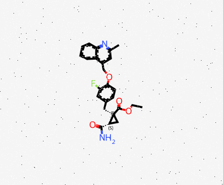 CCOC(=O)[C@@]1(Cc2ccc(OCc3cc(C)nc4ccccc34)c(F)c2)C[C@@H]1C(N)=O